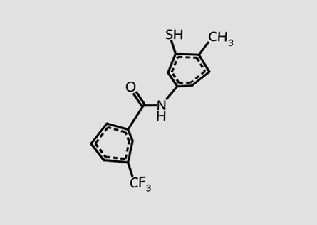 Cc1ccc(NC(=O)c2cccc(C(F)(F)F)c2)cc1S